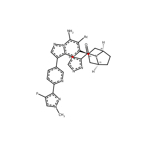 CC(=O)c1c([C@H]2C[C@H]3CC[C@@H](C2)N3C(=O)c2nnc[nH]2)nc2c(-c3ccc(-c4nn(C)cc4F)nc3)cnn2c1N